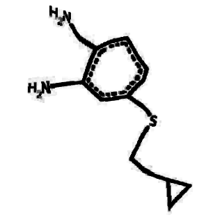 Nc1ccc(SCC2CC2)cc1N